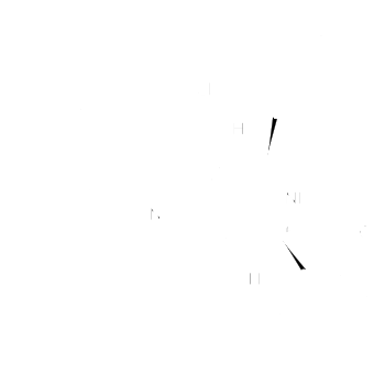 Clc1ccccc1[C@H]1N[C@@H](c2ccccc2Cl)[C@@H]2C[C@H]1CN(Cc1ccccc1)C2